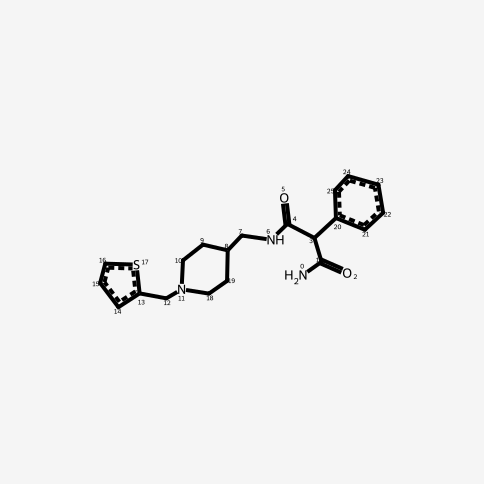 NC(=O)C(C(=O)NCC1CCN(Cc2cccs2)CC1)c1ccccc1